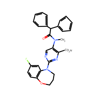 CN(C(=O)C(c1ccccc1)c1ccccc1)c1cnc(N2CCCOc3ccc(F)cc32)nc1C(=O)O